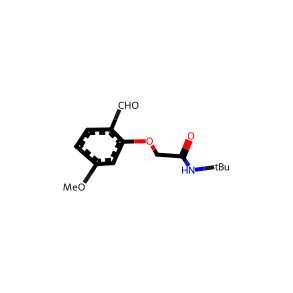 COc1ccc(C=O)c(OCC(=O)NC(C)(C)C)c1